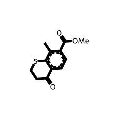 COC(=O)c1ccc2c(c1C)SCCC2=O